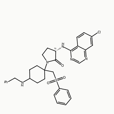 CC(C)CNC1CCC(CS(=O)(=O)c2ccccc2)(N2CC[C@H](Nc3ncnc4cc(Cl)ccc34)C2=O)CC1